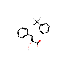 CC(C)(C)c1ccccc1.COC(=Cc1ccccc1)C(=O)O